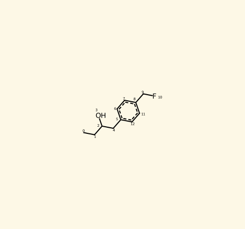 CCC(O)Cc1ccc(CF)cc1